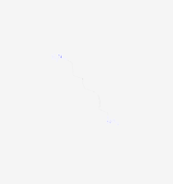 NC/C=C/CCCCN